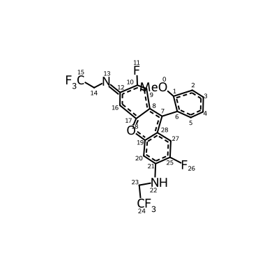 COc1ccccc1-c1c2cc(F)c(=NCC(F)(F)F)cc-2oc2cc(NCC(F)(F)F)c(F)cc12